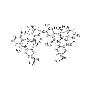 CCc1c(N)cc(Cl)c(CC)c1NC(=O)N(c1ccc(NC)cc1)C(C)c1ccccc1.CCc1c(N)cc(Cl)c(CC)c1NC(=O)N(c1ccc(NC)cc1)[C@@H](C)c1ccc(Cl)cc1